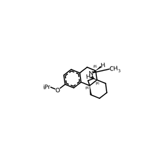 CC(C)Oc1ccc2c(c1)[C@@]13CCCC[C@H]1[C@@H](C2)N(C)CC3